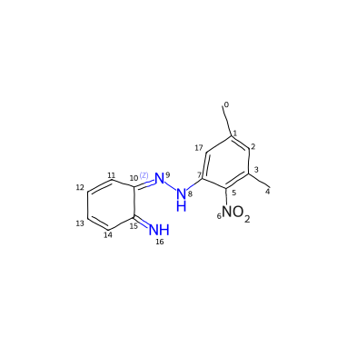 Cc1cc(C)c([N+](=O)[O-])c(N/N=C2/C=CC=CC2=N)c1